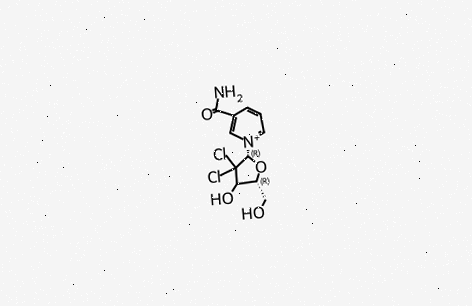 NC(=O)c1ccc[n+]([C@@H]2O[C@H](CO)C(O)C2(Cl)Cl)c1